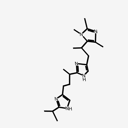 Cc1nc(C)n(C)c1C(C)Cc1c[nH]c(C(C)CCc2c[nH]c(C(C)C)n2)n1